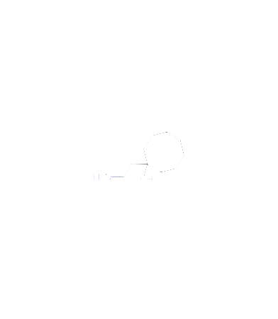 CC1(CCN)CCCCCCC1